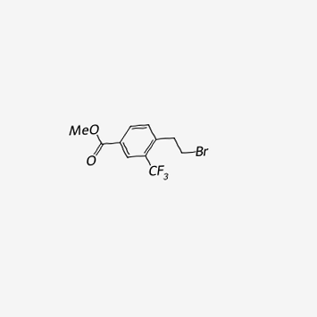 COC(=O)c1ccc(CCBr)c(C(F)(F)F)c1